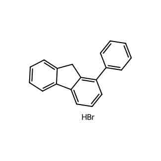 Br.c1ccc(-c2cccc3c2Cc2ccccc2-3)cc1